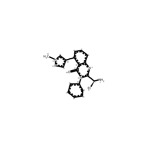 CC[C@H](N)c1nc2cccc(-c3cnn(C)c3)c2c(=O)n1-c1ccccc1